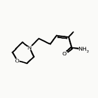 CC(=CCCN1CCOCC1)C(N)=O